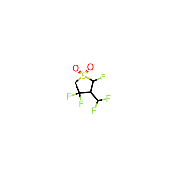 O=S1(=O)CC(F)(F)C(C(F)F)C1F